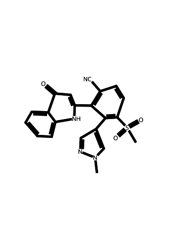 Cn1cc(-c2c(S(C)(=O)=O)ccc(C#N)c2-c2cc(=O)c3ccccc3[nH]2)cn1